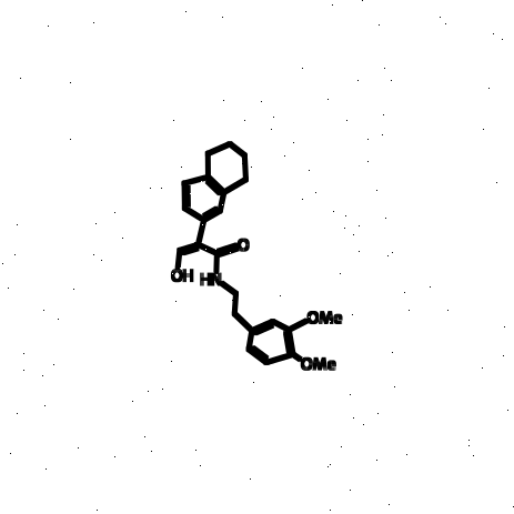 COc1ccc(CCNC(=O)/C(=C\O)c2ccc3c(c2)CCCC3)cc1OC